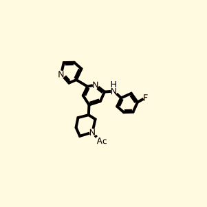 CC(=O)N1CCCC(c2cc(Nc3cccc(F)c3)nc(-c3cccnc3)c2)C1